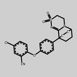 N#Cc1cc(Cl)ccc1Oc1ccc(C23CCC(CC2)N2CCS(=O)(=O)N=C23)cc1